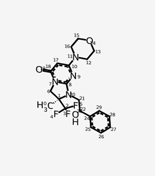 C[C@]1(C(F)(F)F)Cn2c(nc(N3CCOCC3)cc2=O)N1C[C@H](O)c1ccccc1